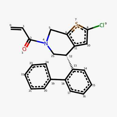 C=CC(=O)N1Cc2sc(Cl)cc2[C@H](c2ccccc2-c2ccccc2)C1